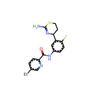 CCc1ccc(C(=O)Nc2ccc(F)c(C3CCSC(N)=N3)c2)nc1